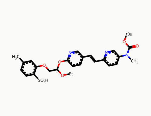 CCOC(COc1cc(C)ccc1S(=O)(=O)O)Oc1ccc(C=Cc2ccc(N(C)C(=O)OC(C)(C)C)cn2)cn1